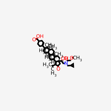 COCC(=O)N(CC1CC1)C[C@H](O)[C@@]12CC[C@]3(C)[C@H](CC[C@@H]4[C@@]5(C)CC=C(C6=CCC(C(=O)O)CC6)C(C)(C)[C@@H]5CC[C@]43C)C1=C(C(C)C)C(=O)C2